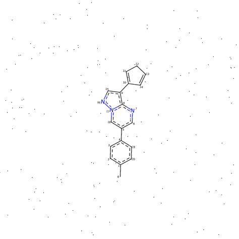 Cc1ccc(-c2cnc3c(C4=CCC=C4)cnn3c2)cc1